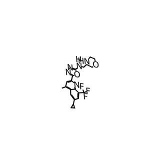 Cc1cc(-c2nnc(NCC3COCCN3)o2)nc2c(C(F)(F)F)cc(C3CC3)cc12